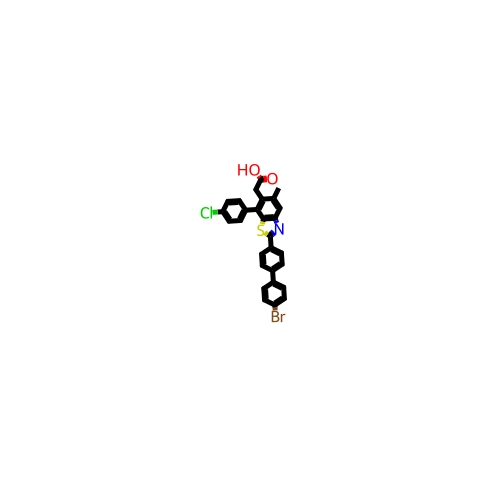 Cc1cc2nc(-c3ccc(-c4ccc(Br)cc4)cc3)sc2c(-c2ccc(Cl)cc2)c1CC(=O)O